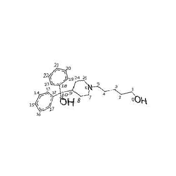 OCCCCCN1CCC(C(O)(c2ccccc2)c2ccccc2)CC1